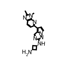 Cc1nc2ccc(-c3ccn4nc(N[C@H]5C[C@@H](N)C5)ncc34)nc2n1C